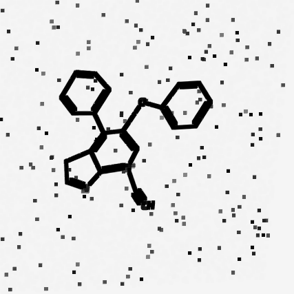 C#C[n+]1cc(Oc2ccccc2)c(-c2ccccc2)c2c1N=CC2